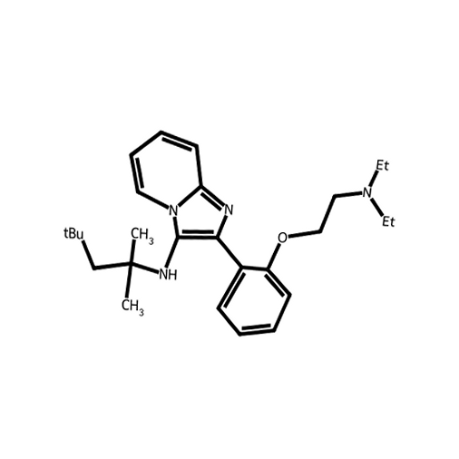 CCN(CC)CCOc1ccccc1-c1nc2ccccn2c1NC(C)(C)CC(C)(C)C